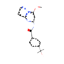 COc1cc(NC(=O)c2ccc(C(C)(C)O)cc2)nc2ccnn12